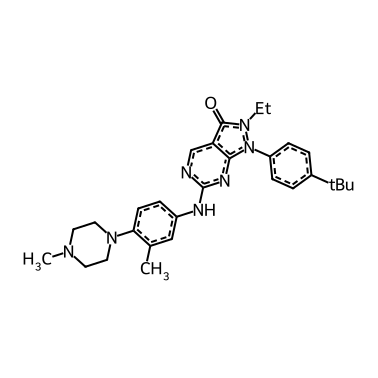 CCn1c(=O)c2cnc(Nc3ccc(N4CCN(C)CC4)c(C)c3)nc2n1-c1ccc(C(C)(C)C)cc1